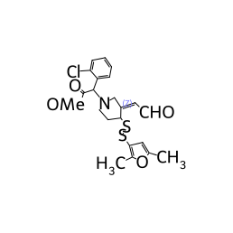 COC(=O)C(c1ccccc1Cl)N1CCC(SSc2cc(C)oc2C)/C(=C\C=O)C1